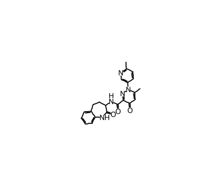 Cc1ccc(-n2nc(C(=O)NC3CCc4ccccc4NC3=O)c(=O)cc2C)cn1